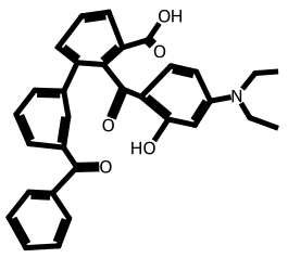 CCN(CC)c1ccc(C(=O)c2c(C(=O)O)cccc2-c2cccc(C(=O)c3ccccc3)c2)c(O)c1